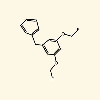 FCOc1cc(Cc2ccccc2)cc(OCF)c1